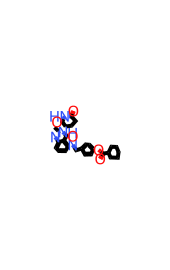 Cc1nc2cccc(NCc3ccc(OC(=O)C4CCCCC4)cc3)c2c(=O)n1C1CCC(=O)NC1=O